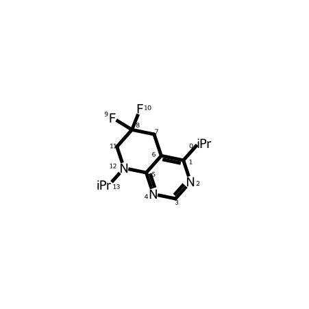 CC(C)c1ncnc2c1CC(F)(F)CN2C(C)C